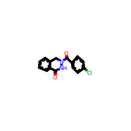 O=C1NN(C(=O)c2ccc(Cl)cc2)Cc2ccccc21